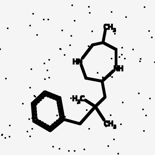 CC1CNCC(CC(C)(C)Cc2ccccc2)NC1